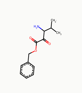 [CH2]C(C)C(N)C(=O)C(=O)OCc1ccccc1